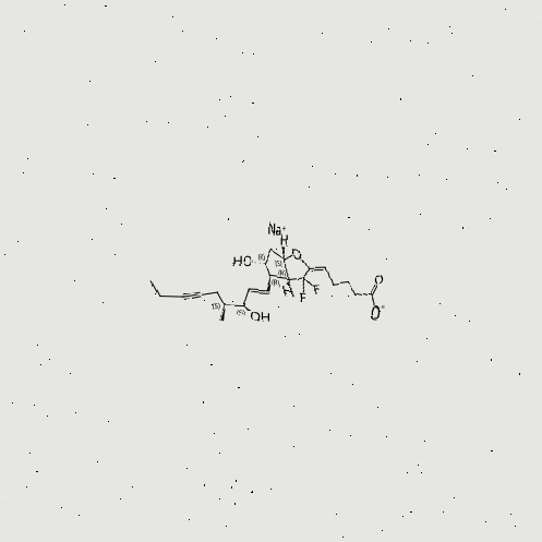 CCC#CC[C@H](C)[C@H](O)C=C[C@@H]1[C@@H]2[C@H](C[C@H]1O)OC(=CCCCC(=O)[O-])C2(F)F.[Na+]